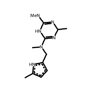 CNC1=NC(C)N=C(N(C)Cc2ccc(C)[nH]2)N1